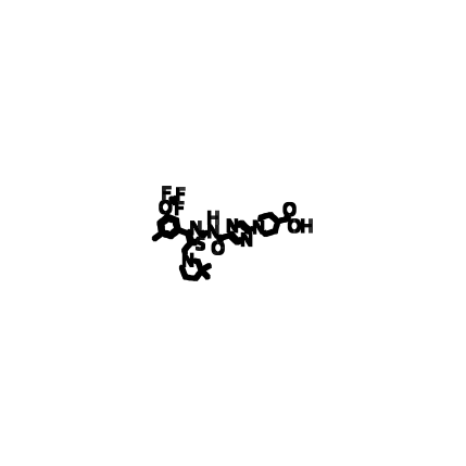 Cc1cc(OC(F)(F)F)cc(-c2nc(NC(=O)c3cnc(N4CCC(C(=O)O)CC4)cn3)sc2CN2CCCC(C)(C)C2)c1